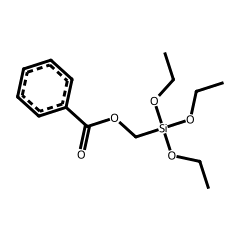 CCO[Si](COC(=O)c1ccccc1)(OCC)OCC